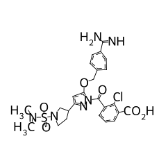 CN(C)S(=O)(=O)N1CCC(c2cc(OCc3ccc(C(=N)N)cc3)n(C(=O)c3cccc(C(=O)O)c3Cl)n2)C1